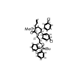 C=CC[C@@]1(OC)C[C@H](c2cccc(Cl)c2)[C@@H](c2ccc(Cl)cc2)N([C@@H](C)CCO[Si](c2ccccc2)(c2ccccc2)C(C)(C)C)C1=O